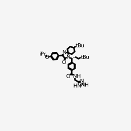 CC(C)Oc1ccc(C2=NC3(CCC(C(C)(C)C)CC3)N([C@H](CCC(C)(C)C)c3ccc(C(=O)NCc4n[nH][nH]4)cc3)C2=O)cc1